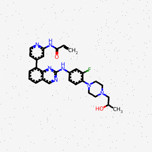 C=CC(=O)Nc1cc(-c2cccc3cnc(Nc4ccc(N5CCN(CC(C)O)CC5)c(F)c4)nc23)ccn1